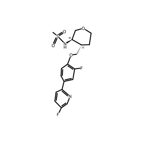 CS(=O)(=O)N[C@H]1COCC[C@@H]1COc1ccc(-c2ccc(F)cn2)cc1F